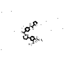 COc1cc(C2=NN(C(=O)c3ccc(NC(=O)c4ccco4)cc3)CCC2)ccc1S(C)(=O)=O